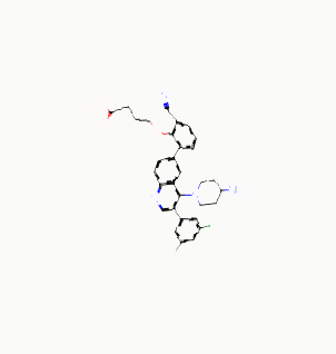 N#Cc1cccc(-c2ccc3ncc(-c4cc(F)cc(F)c4)c(N4CCC(N)CC4)c3c2)c1OCCCC(=O)O